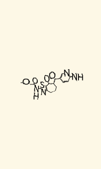 CNc1ccc(C(=O)C2CCCc3nc(NC(=O)COC)sc3C2=O)cn1